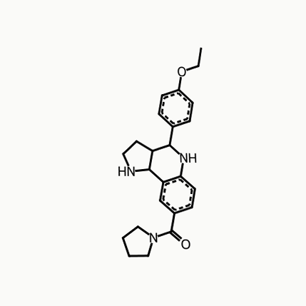 CCOc1ccc(C2Nc3ccc(C(=O)N4CCCC4)cc3C3NCCC23)cc1